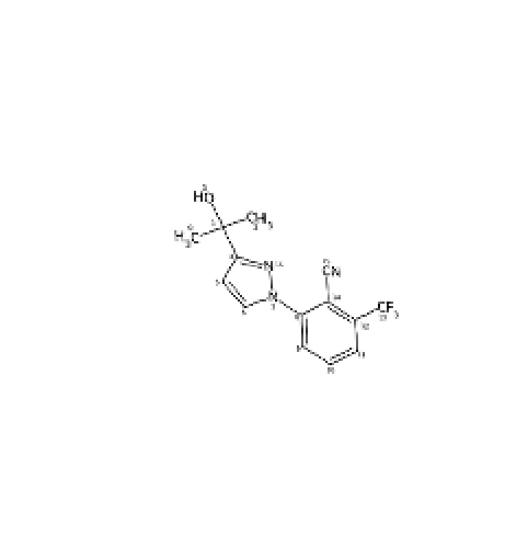 CC(C)(O)c1ccn(-c2cccc(C(F)(F)F)c2C#N)n1